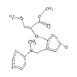 COC=C(Oc1ccc(Cl)cc1CN(C)c1ccccc1)C(=O)OC